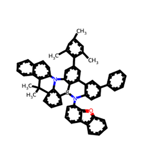 Cc1cc(C)c(-c2cc3c4c(c2)N2c5ccc6ccccc6c5C(C)(C)c5cccc(c52)B4N(c2cccc4c2oc2ccccc24)c2ccc(-c4ccccc4)cc2-3)c(C)c1